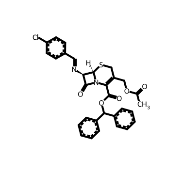 CC(=O)OCC1=C(C(=O)OC(c2ccccc2)c2ccccc2)N2C(=O)[C@@H](N=Cc3ccc(Cl)cc3)[C@H]2SC1